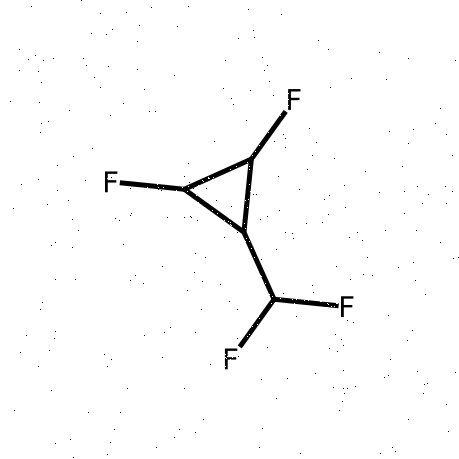 FC(F)C1C(F)C1F